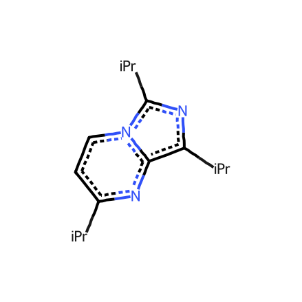 CC(C)c1ccn2c(C(C)C)nc(C(C)C)c2n1